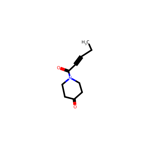 CCC#CC(=O)N1CCC(=O)CC1